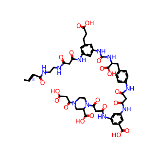 C/C=C/C(=O)NCCNC(=O)CC(=O)Nc1cc(CCC(=O)O)cc(NC(=O)NC(Cc2ccc(NC(=O)CC(=O)Nc3cc(NC(=O)CC(=O)N4CCN(C(=O)CC(=O)O)CC4C(=O)O)cc(C(=O)O)c3)cc2)C(=O)O)c1